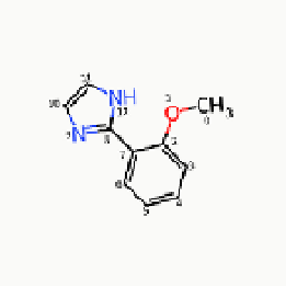 COc1ccccc1-c1ncc[nH]1